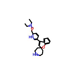 CCN(CC)OCC1C=CC(C2=CC3(CCCNCC3)Oc3ccccc32)=CN1